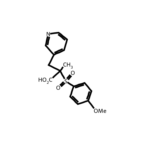 COc1ccc(S(=O)(=O)C(C)(Cc2cccnc2)C(=O)O)cc1